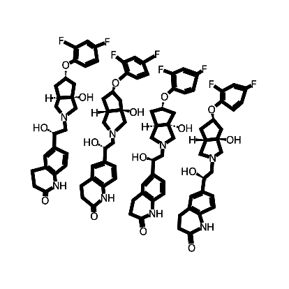 O=C1CCc2cc([C@@H](O)CN3C[C@@H]4C[C@@H](Oc5ccc(F)cc5F)C[C@]4(O)C3)ccc2N1.O=C1CCc2cc([C@@H](O)CN3C[C@H]4C[C@H](Oc5ccc(F)cc5F)C[C@@]4(O)C3)ccc2N1.O=C1CCc2cc([C@H](O)CN3C[C@@H]4C[C@@H](Oc5ccc(F)cc5F)C[C@]4(O)C3)ccc2N1.O=C1CCc2cc([C@H](O)CN3C[C@H]4C[C@H](Oc5ccc(F)cc5F)C[C@@]4(O)C3)ccc2N1